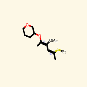 CCS/C(C)=C\C(OC)=C(/C)OC1CCCOC1